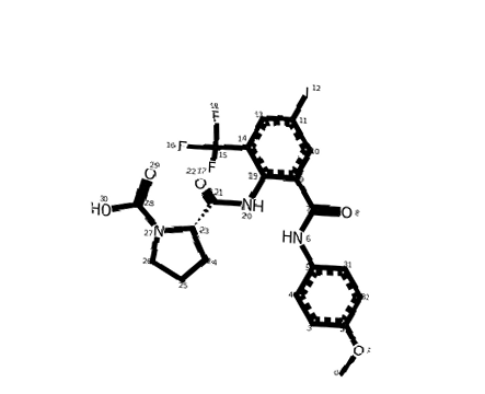 COc1ccc(NC(=O)c2cc(I)cc(C(F)(F)F)c2NC(=O)[C@@H]2CCCN2C(=O)O)cc1